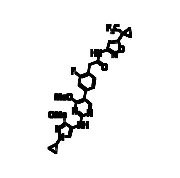 COc1nn(C2CC2)cc1Nc1ncc(-c2ccc(CC(=O)Nc3cc(C4(C(F)(F)F)CC4)on3)c(F)c2)c(OC)n1